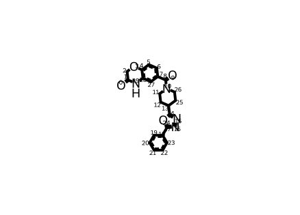 O=C1COc2ccc(C(=O)N3CCC(c4nnc(-c5ccccc5)o4)CC3)cc2N1